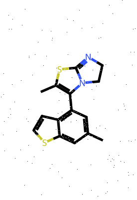 CC1=C(c2cc(C)cc3sccc23)N2CCN=C2S1